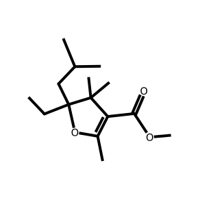 CCC1(CC(C)C)OC(C)=C(C(=O)OC)C1(C)C